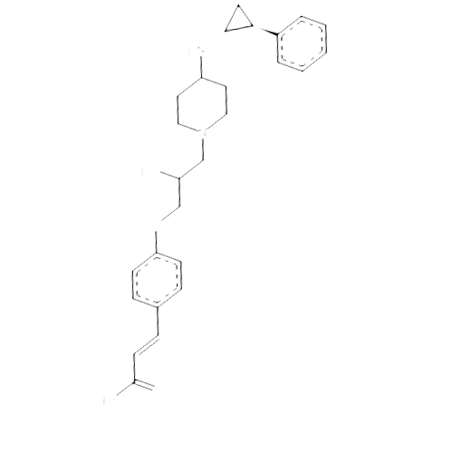 O=C(O)/C=C/c1ccc(OCC(O)CN2CCC(N[C@@H]3C[C@H]3c3ccccc3)CC2)cc1